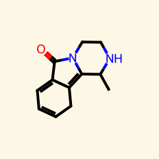 CC1NCCN2C(=O)C3=CC=CCC3=C12